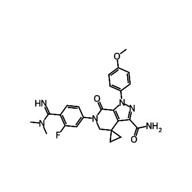 COc1ccc(-n2nc(C(N)=O)c3c2C(=O)N(c2ccc(C(=N)N(C)C)c(F)c2)CC32CC2)cc1